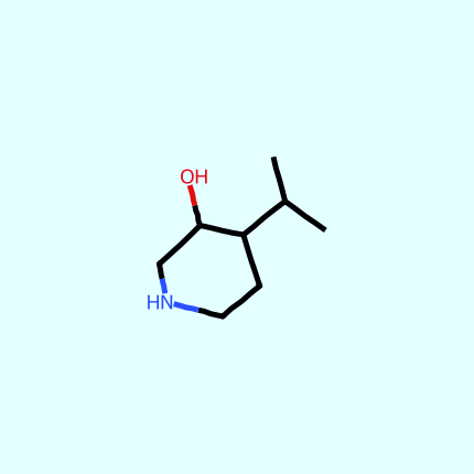 CC(C)C1CCNCC1O